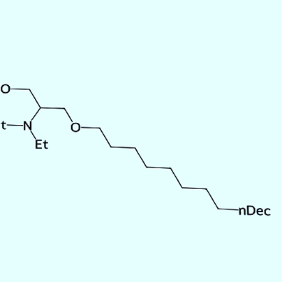 CCCCCCCCCCCCCCCCCCOCC(CO)N(CC)CC